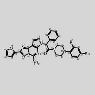 Nc1nc2c(cnn2C(C(=O)N2CCN(c3ccc(F)cc3F)CC2)c2ccccc2)c2nc(-c3ccco3)nn12